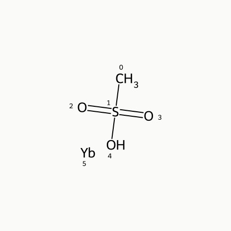 CS(=O)(=O)O.[Yb]